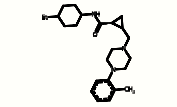 CCC1CCC(NC(=O)[C@H]2CC2CN2CCN(c3ccccc3C)CC2)CC1